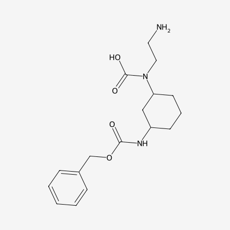 NCCN(C(=O)O)C1CCCC(NC(=O)OCc2ccccc2)C1